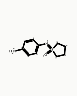 Nc1ccc(N=S2(=O)CCCC2)cc1